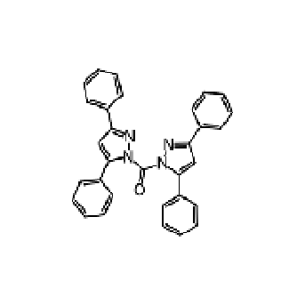 O=C(n1nc(-c2ccccc2)cc1-c1ccccc1)n1nc(-c2ccccc2)cc1-c1ccccc1